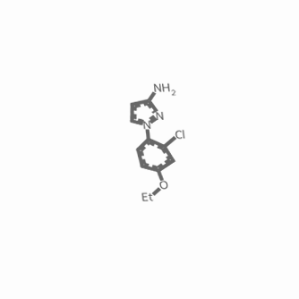 CCOc1ccc(-n2ccc(N)n2)c(Cl)c1